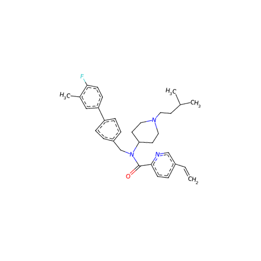 C=Cc1ccc(C(=O)N(Cc2ccc(-c3ccc(F)c(C)c3)cc2)C2CCN(CCC(C)C)CC2)nc1